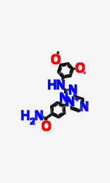 COc1cc(NC2=N[N+]3(c4ccc(C(N)=O)cc4)C=CN=CC3=N2)cc(OC)c1